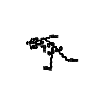 CCCCCCCCCCCCCCCC(=O)OCC(COC(=O)CCCCCCCCCCCCCCC)OC(=O)CCC(CCCCCCCCCCCC)OC1O[C@H](CO)[C@@H](O)[C@H](O)[C@H]1O